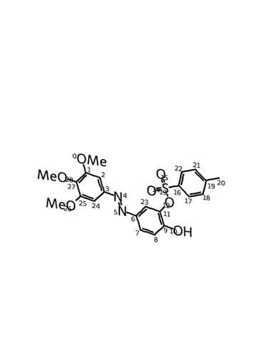 COc1cc(N=Nc2ccc(O)c(OS(=O)(=O)c3ccc(C)cc3)c2)cc(OC)c1OC